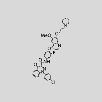 COc1cc2c(Oc3ccc(NC(=O)c4nn(-c5ccc(Cl)cc5)c5ccccc5c4=O)cc3F)ccnc2cc1OCCCN1CCCCC1